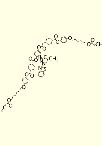 C=CC(=O)OCCCCCCOc1ccc(OC(=O)C2CCC(CC(=O)Oc3ccc(OC(=O)[C@H]4CC[C@H](C(=O)Oc5ccc(OCCCCCCOC(=O)C=C)cc5)CC4)c(/C=N/N(CC(=C)C)c4nc5ccccc5s4)c3)CC2)cc1